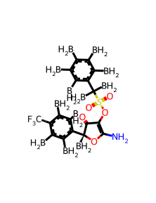 Bc1c(B)c(B)c(C(B)(B)S(=O)(=O)OC2=C(N)O[C@](B)(c3c(B)c(B)c(C(F)(F)F)c(B)c3B)C2=O)c(B)c1B